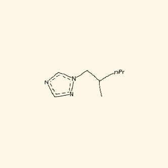 CCCC(C)Cn1cncn1